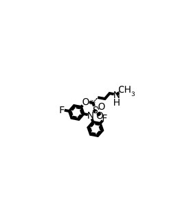 CNCCC[C@H]1Oc2cc(F)ccc2N(c2ccccc2F)S1(=O)=O